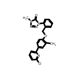 Cc1cc(-c2cccc(Cl)n2)ccc1OCc1ccccc1-n1nnn(C)c1=O